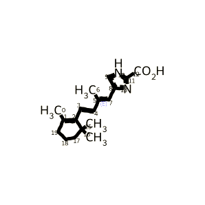 CC1=C(C=C/C(C)=C/c2c[nH]c(C(=O)O)n2)C(C)(C)CCC1